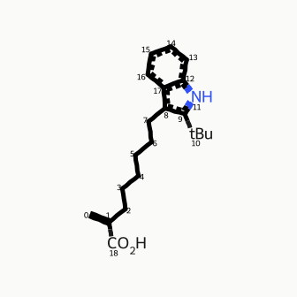 C=C(CCCCCCc1c(C(C)(C)C)[nH]c2ccccc12)C(=O)O